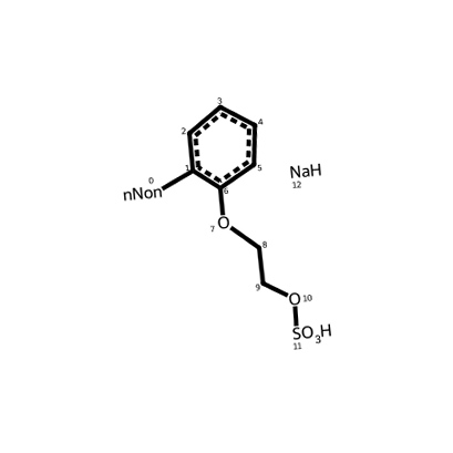 CCCCCCCCCc1ccccc1OCCOS(=O)(=O)O.[NaH]